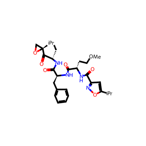 COCC[C@H](NC(=O)c1cc(C(C)C)on1)C(=O)N[C@@H](Cc1ccccc1)C(=O)N[C@@H](CC(C)C)C(=O)[C@@]1(C)CO1